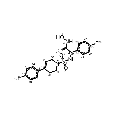 O=C(NO)[C@H](NS(=O)(=O)N1CC=C(c2ccc(F)cc2)CC1)c1ccc(F)cc1